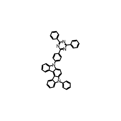 c1ccc(-c2nc(-c3ccccc3)nc(-c3ccc(-n4c5ccccc5c5c6c7ccccc7n(-c7ccccc7)c6ccc54)cc3)n2)cc1